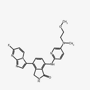 COCCN(C)c1ccc(Nc2ccc(-c3cnc4nc(F)ccn34)c3c2C(=O)NC3)nc1